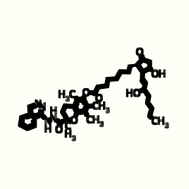 CCCCCC(O)/C=C/C1C(O)CC(=O)[C@@H]1CCCCCCCC(=O)Oc1c(C)c(C)c2c(c1C)CCC(C)(C(=O)NNc1nncc3ccccc13)O2